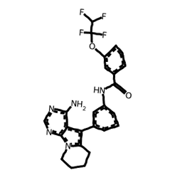 Nc1ncnc2c1c(-c1cccc(NC(=O)c3cccc(OC(F)(F)C(F)F)c3)c1)c1n2CCCC1